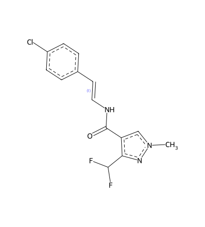 Cn1cc(C(=O)N/C=C/c2ccc(Cl)cc2)c(C(F)F)n1